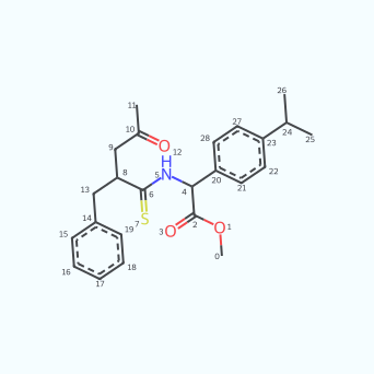 COC(=O)C(NC(=S)C(CC(C)=O)Cc1ccccc1)c1ccc(C(C)C)cc1